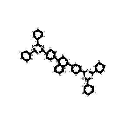 c1ccc(C2=NC(c3ccc(-c4ccc(-c5ccc(-c6nc(-c7ccccc7)nc(-c7ccccc7)n6)cc5)c5ccccc45)cc3)NC(c3ccccc3)=N2)cc1